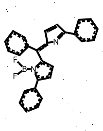 FB(F)n1c(/C(=C2/C=CC(c3ccccc3)=N2)c2ccccc2)ccc1-c1ccccc1